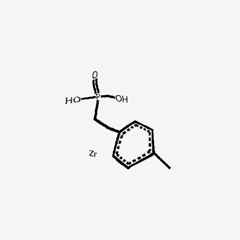 Cc1ccc(CP(=O)(O)O)cc1.[Zr]